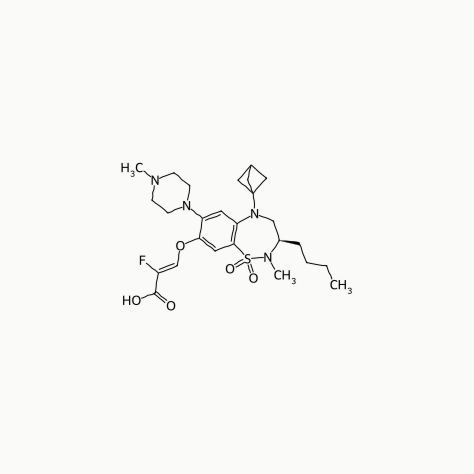 CCCC[C@@H]1CN(C23CC(C2)C3)c2cc(N3CCN(C)CC3)c(O/C=C(\F)C(=O)O)cc2S(=O)(=O)N1C